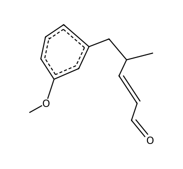 COc1cccc(CC(C)C=CC=O)c1